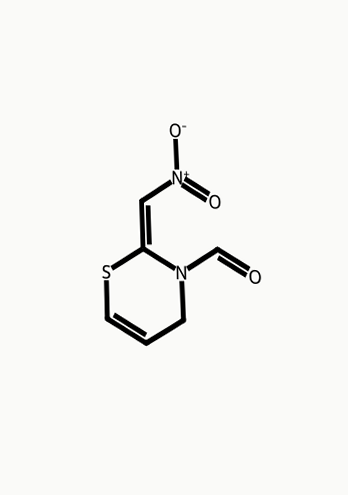 O=CN1CC=CSC1=C[N+](=O)[O-]